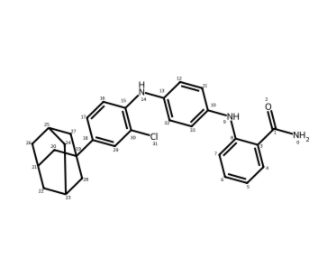 NC(=O)c1ccccc1Nc1ccc(Nc2ccc(C34CC5CC(CC(C5)C3)C4)cc2Cl)cc1